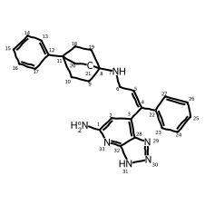 Nc1cc(/C(=C\CNC23CCC(c4ccccc4)(CC2)CC3)c2ccccc2)c2nn[nH]c2n1